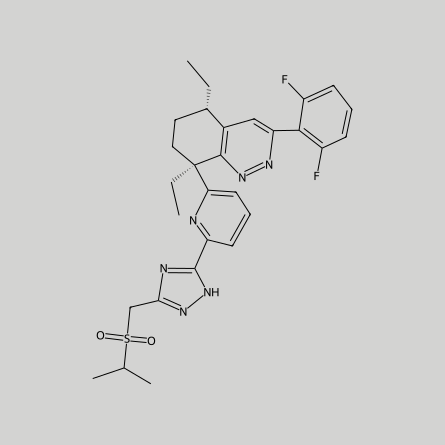 CC[C@H]1CC[C@](CC)(c2cccc(-c3nc(CS(=O)(=O)C(C)C)n[nH]3)n2)c2nnc(-c3c(F)cccc3F)cc21